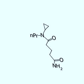 CCCN(C(=O)CCCC(N)=O)C1CC1